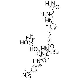 Cc1ncsc1-c1ccc([C@H](C)NC(=O)[C@@H]2C[C@@H](O)CN2C(=O)[C@@H](NC(=O)CCCCCc2cccc(NCC(N)CCC(N)=O)c2F)C(C)(C)C)cc1.O=C(O)C(F)(F)F